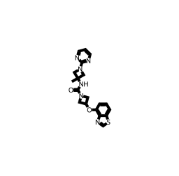 CC1(NC(=O)N2CC(Oc3cccc4scnc34)C2)CN(c2ncccn2)C1